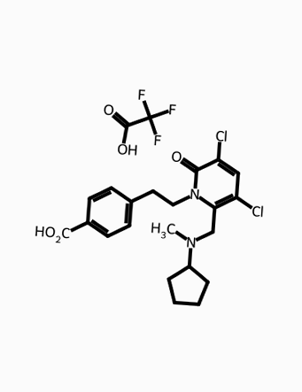 CN(Cc1c(Cl)cc(Cl)c(=O)n1CCc1ccc(C(=O)O)cc1)C1CCCC1.O=C(O)C(F)(F)F